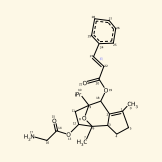 CC1=C2C(CC1)C1(C)OC(C(C)C)(CC1OC(=O)CN)C2OC(=O)/C=C/c1ccccc1